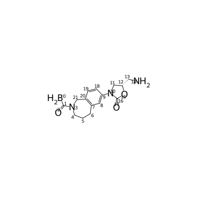 BC(=O)N1CCCc2cc(N3C[C@H](CN)OC3=O)ccc2C1